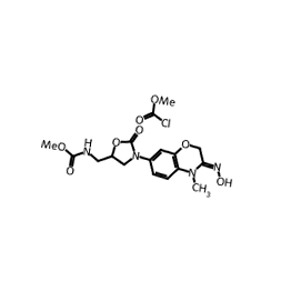 COC(=O)Cl.COC(=O)NCC1CN(c2ccc3c(c2)OCC(=NO)N3C)C(=O)O1